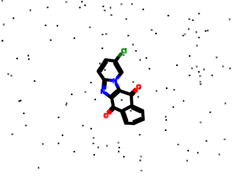 O=C1c2ccccc2C(=O)c2c1nc1ccc(Cl)cn21